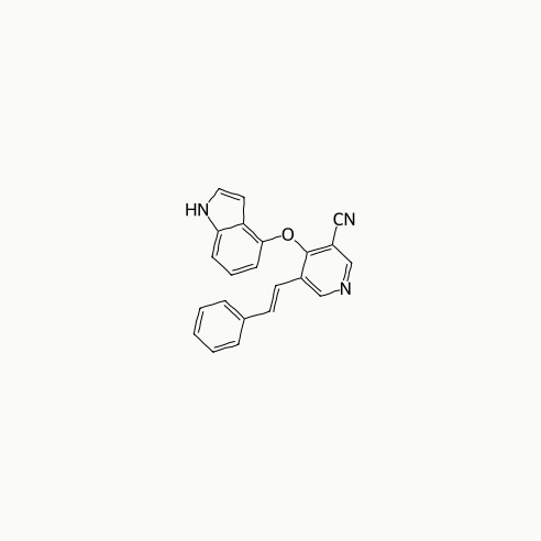 N#Cc1cncc(/C=C/c2ccccc2)c1Oc1cccc2[nH]ccc12